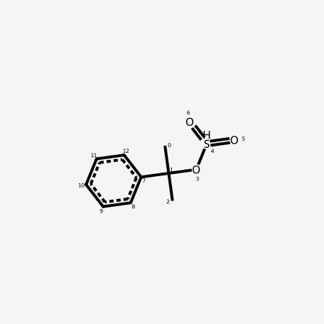 CC(C)(O[SH](=O)=O)c1ccccc1